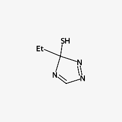 CCC1(S)N=CN=N1